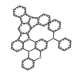 c1ccc(N(c2ccccc2)c2cc3c4c(c2)-n2c5c(cccc5c5cc6c7ccccc7n7c8ccccc8c(c52)c67)B4c2ccccc2O3)cc1